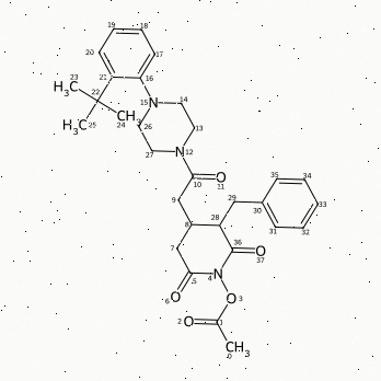 CC(=O)ON1C(=O)CC(CC(=O)N2CCN(c3ccccc3C(C)(C)C)CC2)C(Cc2ccccc2)C1=O